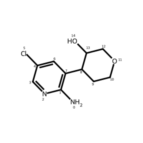 Nc1ncc(Cl)cc1C1CCOCC1O